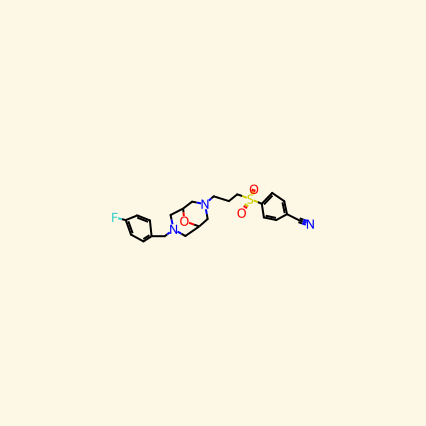 N#Cc1ccc(S(=O)(=O)CCCN2CC3CN(Cc4ccc(F)cc4)CC(C2)O3)cc1